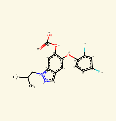 CC(C)Cn1ncc2cc(Oc3ccc(F)cc3F)c(OC(=O)O)cc21